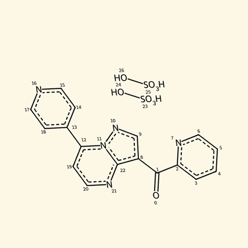 O=C(c1ccccn1)c1cnn2c(-c3ccncc3)ccnc12.O=S(=O)(O)O.O=S(=O)(O)O